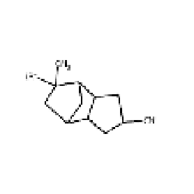 CC(C)C1(C)CC2CC1C1CC(C#N)CC21